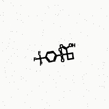 O=C(O)C1(S(=O)(=O)c2ccc(C(F)(F)F)cc2)CCC1